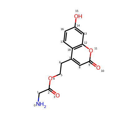 NCC(=O)OCCc1cc(=O)oc2cc(O)ccc12